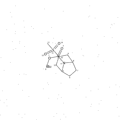 CC(C)(C)OC(=O)N1C2CCC1CC(S(C)(=O)=O)C2